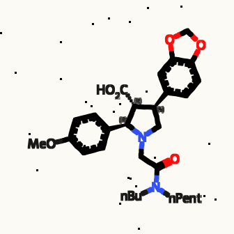 CCCCCN(CCCC)C(=O)CN1C[C@H](c2ccc3c(c2)OCO3)[C@@H](C(=O)O)[C@@H]1c1ccc(OC)cc1